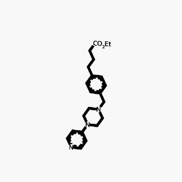 CCOC(=O)CCCc1ccc(CN2CCN(c3ccncc3)CC2)cc1